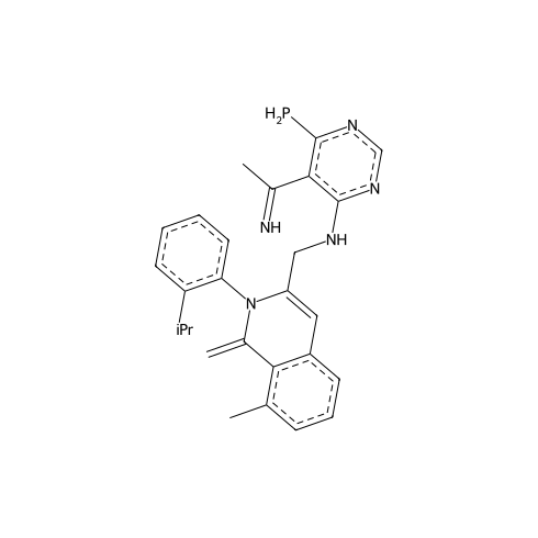 C=C1c2c(C)cccc2C=C(CNc2ncnc(P)c2C(C)=N)N1c1ccccc1C(C)C